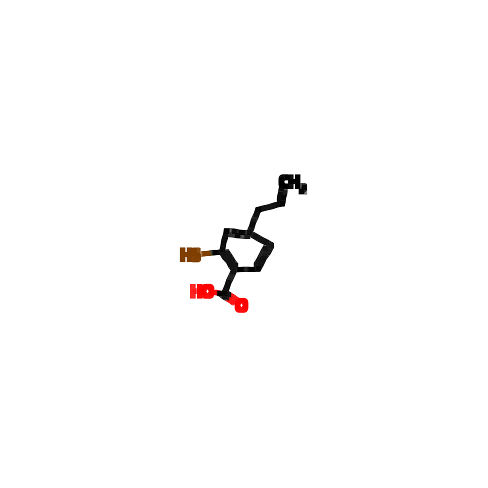 C=CCc1ccc(C(=O)O)c(S)c1